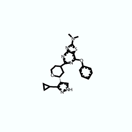 CN(C)c1nc2nc(C3CCO[C@@H](c4c[nH]nc4C4CC4)C3)nc(Oc3ccccc3)c2s1